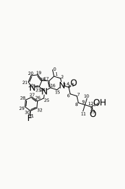 CC1CN(C(=O)CCCC(C)(C)C(=O)O)Cc2c1c1cccnc1n2Cc1cccc(F)c1